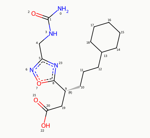 NC(=O)NCc1noc([C@H](CCCC2CCCCC2)CC(=O)O)n1